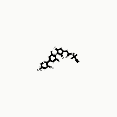 C#CC(C)(C)NC(=O)CC1CC(=O)[C@H](c2c(C)cc(-c3ncc(Cl)cc3F)cc2C)C1=O